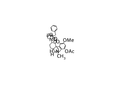 COc1cc(OC(C)=O)c2c3c1O[C@H]1[C@H](N(CC(C)C)S(=O)(=O)Cc4ccccc4)CC[C@H]4[C@@H](C2)N(C)CC[C@@]341